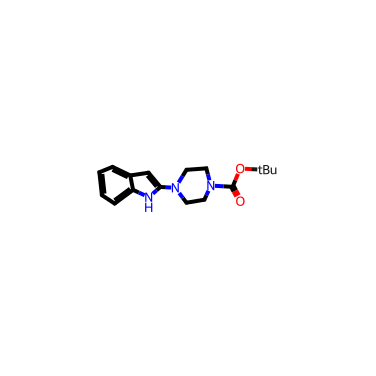 CC(C)(C)OC(=O)N1CCN(c2cc3ccccc3[nH]2)CC1